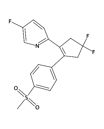 CS(=O)(=O)c1ccc(C2=C(c3ccc(F)cn3)CC(F)(F)C2)cc1